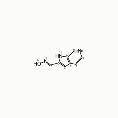 ON=Cc1cc2ccncc2[nH]1